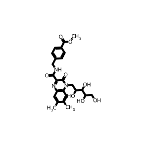 COC(=O)c1ccc(CNC(=O)c2nc3cc(C)c(C)cc3n(CC(O)C(O)C(O)CO)c2=O)cc1